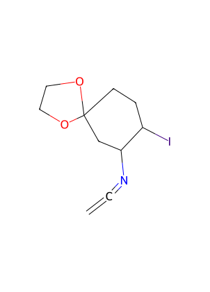 C=C=NC1CC2(CCC1I)OCCO2